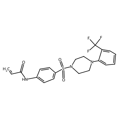 C=CC(=O)Nc1ccc(S(=O)(=O)N2CCN(c3ccccc3C(F)(F)F)CC2)cc1